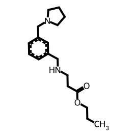 CCCOC(=O)CCNCc1cccc(CN2CCCC2)c1